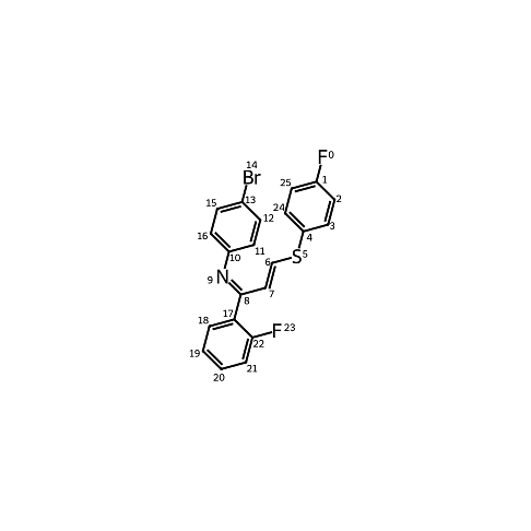 Fc1ccc(SC=CC(=Nc2ccc(Br)cc2)c2ccccc2F)cc1